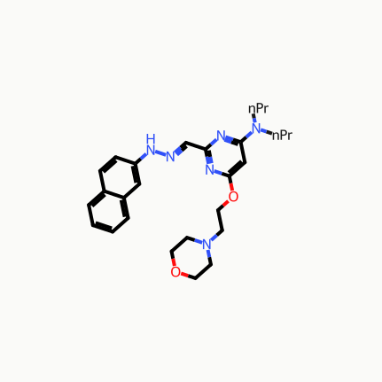 CCCN(CCC)c1cc(OCCN2CCOCC2)nc(/C=N/Nc2ccc3ccccc3c2)n1